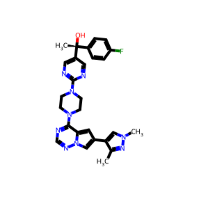 Cc1nn(C)cc1-c1cc2c(N3CCN(c4ncc([C@](C)(O)c5ccc(F)cc5)cn4)CC3)ncnn2c1